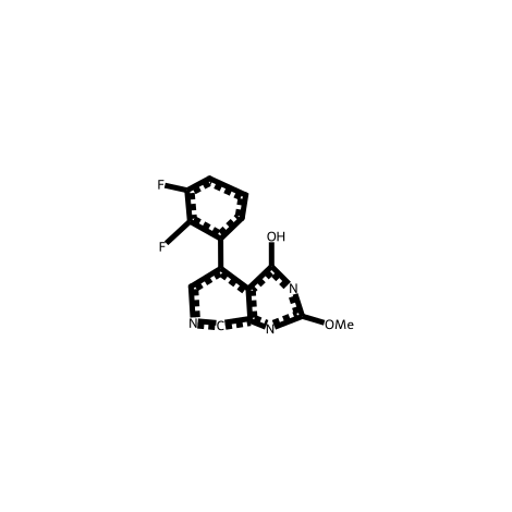 COc1nc(O)c2c(-c3cccc(F)c3F)cncc2n1